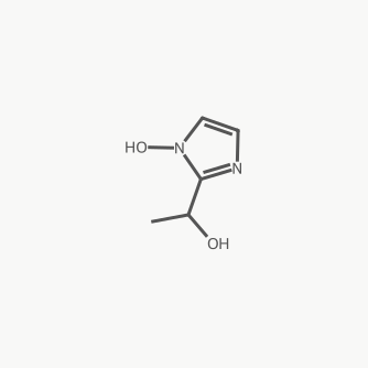 CC(O)c1nccn1O